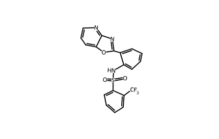 O=S(=O)(Nc1ccccc1-c1nc2ncccc2o1)c1ccccc1C(F)(F)F